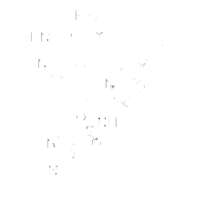 Nc1nccc2cc(CC(C(=O)OCC3CC3)N3CCC(NS(=O)(=O)c4cnc(N5CCCC5)s4)C3=O)c(OC(F)(F)F)cc12